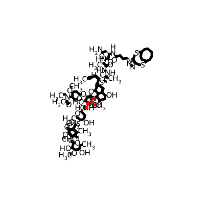 CC#C/C=C\C#CC(OC1OC(C)C(NOC2CC(O)C(SC(=O)c3c(C)c(I)c(OC4OC(C)C(O)C(OC)C4O)c(OC)c3OC)C(C)O2)C(O)C1OC1CC(OC)C(N(CC)C(C)=O)CO1)C1/C(=C\CSSC(C)(C)NNC(=O)[C@H](C)NC(=O)[C@H](CC(N)=O)NC(=O)CCCn2nnc3c2CSC2CCCCCC(CC2)SC3)[C@@H](O)CC(=O)C1NC(=O)OC